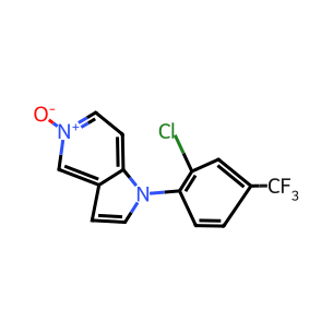 [O-][n+]1ccc2c(ccn2-c2ccc(C(F)(F)F)cc2Cl)c1